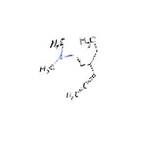 C=C=CC(CC)CCN(C)C